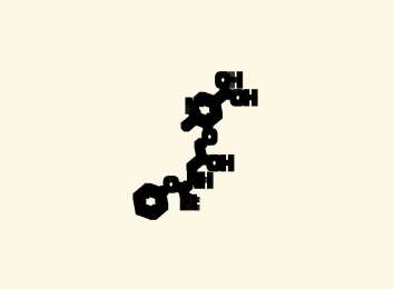 CCC(NCC(O)COc1cc(C(O)O)cnc1C)Oc1ccccc1